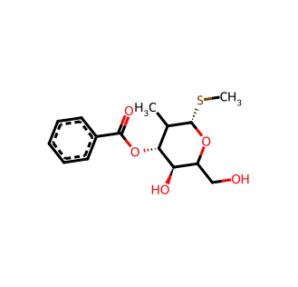 CS[C@@H]1OC(CO)[C@@H](O)[C@H](OC(=O)c2ccccc2)C1C